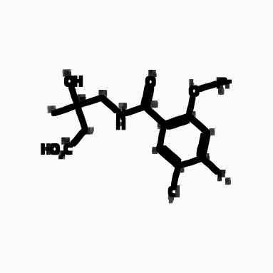 CC(C)Oc1cc(F)c(Cl)cc1C(=O)NCC(C)(O)CC(=O)O